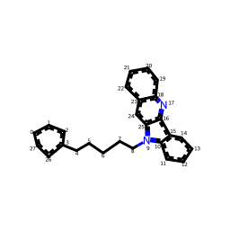 c1ccc(CCCCCn2c3ccccc3c3nc4ccccc4cc32)cc1